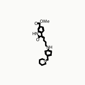 COC(=O)c1ccc2c(c1)NC(=O)C2=CCCCNc1ccc(CN2CCCCC2)cc1